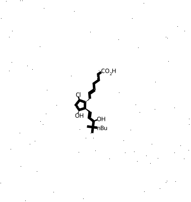 CCCCC(C)(C)[C@H](O)/C=C/[C@@H]1[C@@H](CC=CCCCC(=O)O)[C@H](Cl)C[C@H]1O